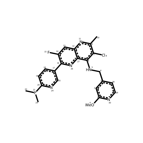 COc1cc(CNc2c(Cl)c(C)nc3cc(F)c(-c4ccc(P(C)C)nc4)nc23)ccn1